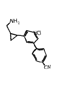 Cl.N#Cc1ccc(-c2cccc(C3CC3CN)c2)cc1